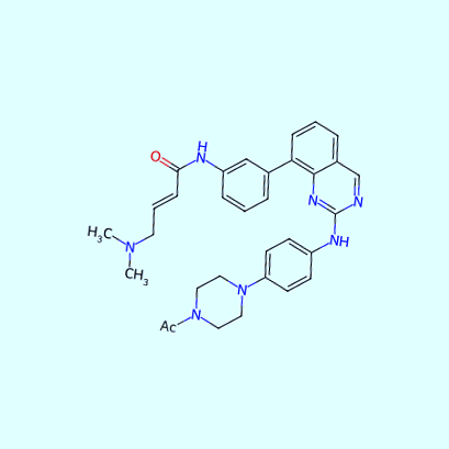 CC(=O)N1CCN(c2ccc(Nc3ncc4cccc(-c5cccc(NC(=O)C=CCN(C)C)c5)c4n3)cc2)CC1